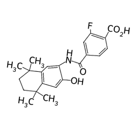 CC1(C)CCC(C)(C)c2cc(NC(=O)c3ccc(C(=O)O)c(F)c3)c(O)cc21